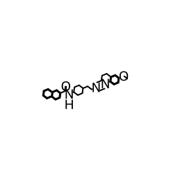 COc1ccc2c(c1)CCC1CN(CCC3CCC(NC(=O)c4ccc5ccccc5c4)CC3)CCN21